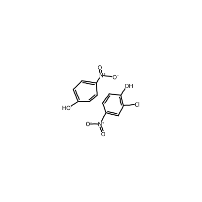 O=[N+]([O-])c1ccc(O)c(Cl)c1.O=[N+]([O-])c1ccc(O)cc1